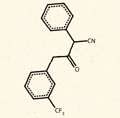 N#CC(C(=O)Cc1cccc(C(F)(F)F)c1)c1ccccc1